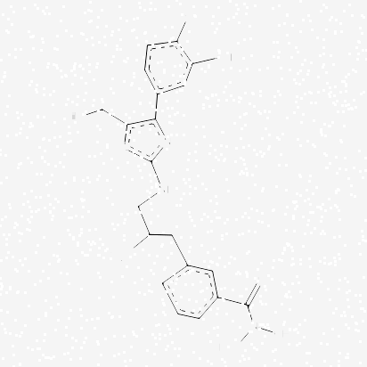 Cc1cc(-c2nc(NCC(Cc3cccc(C(=O)N(C)C)c3)C(=O)O)sc2CC(C)C)ccc1Cl